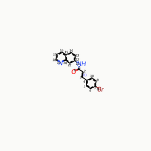 O=C(/C=C/c1ccc(Br)cc1)Nc1ccc2cccnc2c1